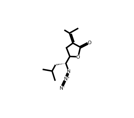 CC(C)=C1CC([C@@H](CC(C)C)N=[N+]=[N-])OC1=O